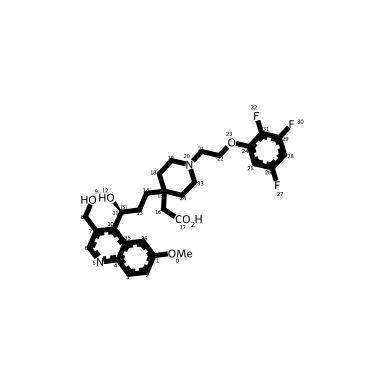 COc1ccc2ncc(CO)c([C@@H](O)CCC3(CC(=O)O)CCN(CCOc4cc(F)cc(F)c4F)CC3)c2c1